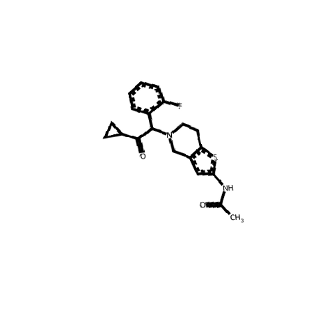 CC(=O)Nc1cc2c(s1)CCN(C(C(=O)C1CC1)c1ccccc1F)C2